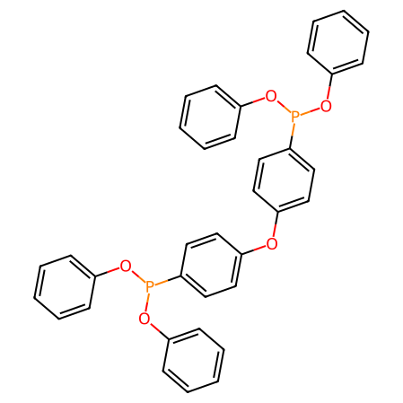 c1ccc(OP(Oc2ccccc2)c2ccc(Oc3ccc(P(Oc4ccccc4)Oc4ccccc4)cc3)cc2)cc1